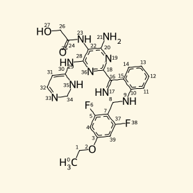 CCOc1cc(F)c(CNc2ccccc2C(=N)c2nc(N)c(NC(=O)CO)c(NC3=CC=NCN3)n2)c(F)c1